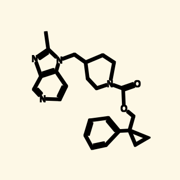 Cc1nc2cnccc2n1CC1CCN(C(=O)OCC2(c3ccccc3)CC2)CC1